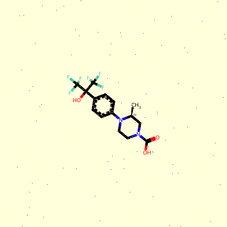 C[C@H]1CN(C(=O)O)CCN1c1ccc(C(O)(C(F)(F)F)C(F)(F)F)cc1